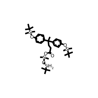 CC(C)(C)[SiH2]O[Si](C)(C)OC(=O)CCC(C)(c1ccc(O[Si](C)(C)C(C)(C)C)cc1)c1ccc(O[Si](C)(C)C(C)(C)C)cc1